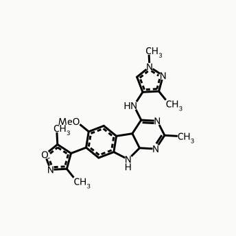 COc1cc2c(cc1-c1c(C)noc1C)NC1N=C(C)N=C(Nc3cn(C)nc3C)C21